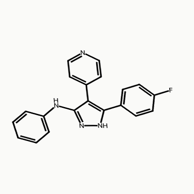 Fc1ccc(-c2[nH]nc(Nc3ccccc3)c2-c2ccncc2)cc1